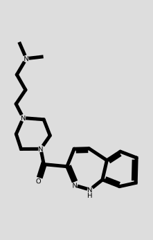 CN(C)CCCN1CCN(C(=O)C2=NNc3ccccc3C=C2)CC1